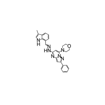 Cc1c[nH]c2c(/C=N/Nc3cc(N4CCOCC4)n4nc(-c5ccccc5)cc4n3)cccc12